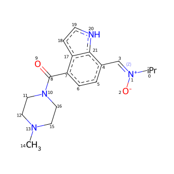 CC(C)/[N+]([O-])=C/c1ccc(C(=O)N2CCN(C)CC2)c2cc[nH]c12